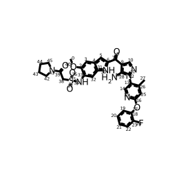 COc1cc2cc(C(=O)c3cnn(-c4cnc(Oc5ccccc5F)cc4C)c3N)[nH]c2cc1NS(=O)(=O)CC(=O)N1CCCC1